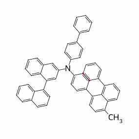 Cc1ccc(-c2ccc(N(c3ccc(-c4ccccc4)cc3)c3cc(-c4cccc5ccccc45)c4ccccc4c3)cc2)c2c(-c3ccccc3)cccc12